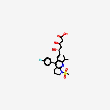 CC(C)c1nc2c(c(-c3ccc(F)cc3)c1/C=C/[C@H](O)C[C@@H](O)CC(=O)O)CCCN2S(C)(=O)=O